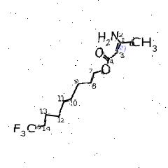 C/C(N)=C/C(=O)OCCCCCCCCC(F)(F)F